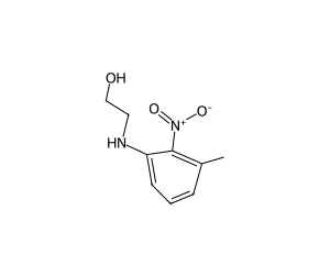 Cc1cccc(NCCO)c1[N+](=O)[O-]